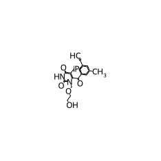 C#Cc1cc(C)cc(C(=O)c2c(C(C)C)c(=O)[nH]c(=O)n2COCCO)c1